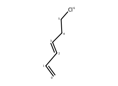 C=CC=CCCCl